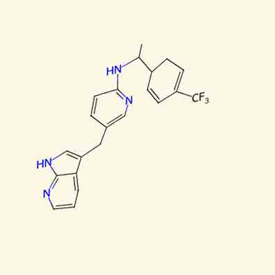 CC(Nc1ccc(Cc2c[nH]c3ncccc23)cn1)C1C=CC(C(F)(F)F)=CC1